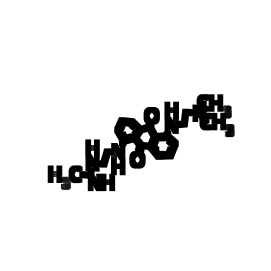 CC(=N)NCCNc1cccc2c1C(=O)c1cccc(NCCN(C)C)c1C2=O